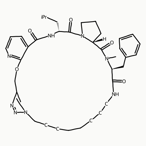 CC(C)C[C@H]1NC(=O)c2cccnc2OCc2cn(nn2)CCCCCCCCNC(=O)[C@H](Cc2ccccc2)N(C)C(=O)[C@H]2CCCN2C1=O